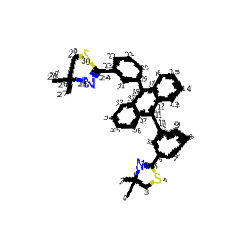 CC1(C)CSC(c2cccc(-c3c4ccccc4c(-c4cccc(C5=NC(C)(C)CS5)c4)c4ccccc34)c2)=N1